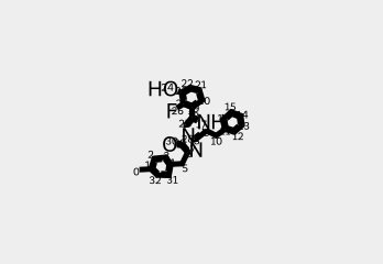 Cc1ccc(Cc2nc3c(Cc4ccccc4)[nH]c(-c4cccc(O)c4F)cn-3c2=O)cc1